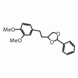 COc1ccc(CCC2COC(c3ccccc3)O2)cc1OC